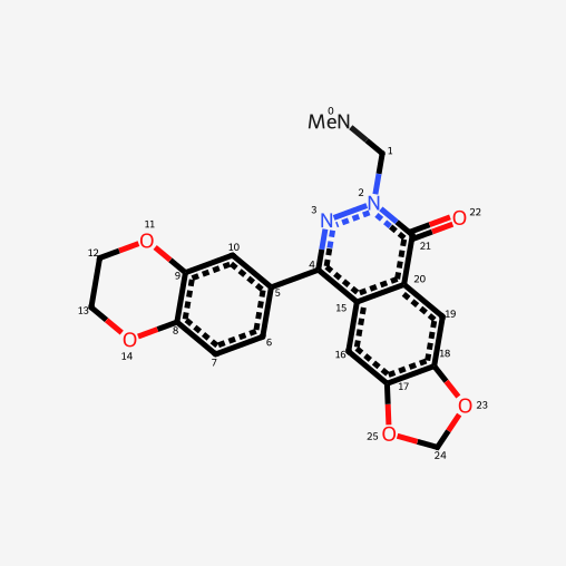 CNCn1nc(-c2ccc3c(c2)OCCO3)c2cc3c(cc2c1=O)OCO3